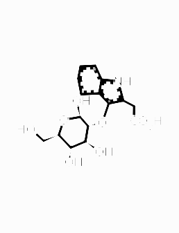 O=C(O)Cc1[nH]c2ccccc2c1O[C@@H]1[C@@H](O)[C@H](O)[C@@H](CO)O[C@H]1O